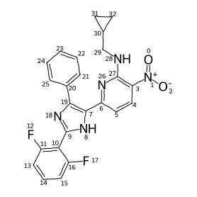 O=[N+]([O-])c1ccc(-c2[nH]c(-c3c(F)cccc3F)nc2-c2ccccc2)nc1NCC1CC1